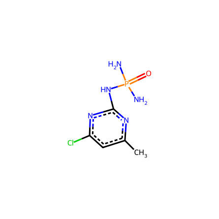 Cc1cc(Cl)nc(NP(N)(N)=O)n1